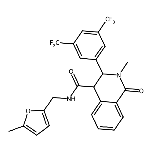 Cc1ccc(CNC(=O)C2c3ccccc3C(=O)N(C)C2c2cc(C(F)(F)F)cc(C(F)(F)F)c2)o1